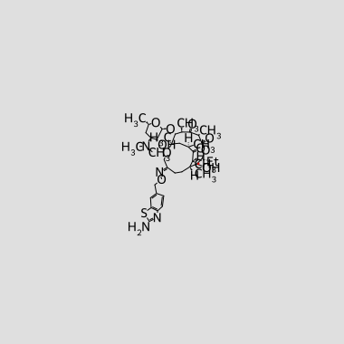 CC[C@H]1OC(=O)[C@H](C)C(=O)[C@H](C)[C@@H](O[C@@H]2O[C@H](C)C[C@H](N(C)C)[C@H]2O)[C@@]2(C)C[C@@H](C)C(=O)[C@H](C)[C@@H](CC/C(=N\OCc3ccc4nc(N)sc4c3)CO2)[C@]1(C)O